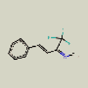 C/N=C(/C=C/c1ccccc1)C(F)(F)F